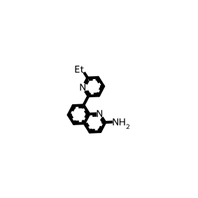 CCc1cccc(-c2cccc3ccc(N)nc23)n1